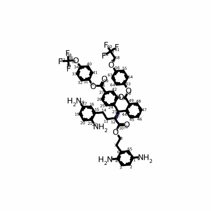 Nc1ccc(N)c(CCOC(=O)/C(CCc2cc(N)ccc2N)=C(/c2ccc(C(=O)Oc3ccc(OC(F)(F)F)cc3)cc2)c2ccccc2C(=O)Oc2ccc(OCC(F)(F)F)cc2)c1